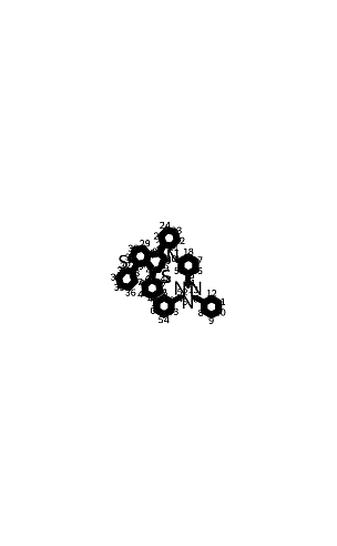 c1ccc(-c2nc(-c3ccccc3)nc(-c3cccc(-n4c5ccccc5c5c6ccc7sc8ccccc8c7c6c6c7ccccc7sc6c54)c3)n2)cc1